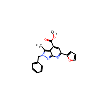 COC(=O)c1cc(-c2ccco2)nc2nn(Cc3ccccc3)c(C)c12